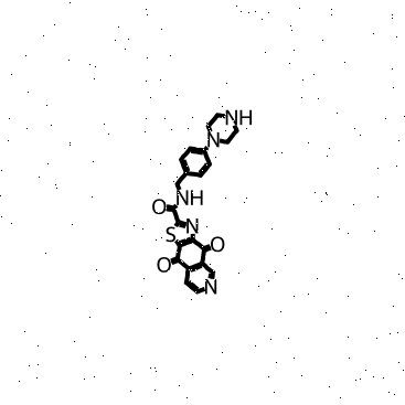 O=C(NCc1ccc(N2CCNCC2)cc1)c1nc2c(s1)C(=O)c1ccncc1C2=O